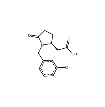 O=C(O)C[C@@H]1CCC(=O)N1Cc1cccc(Cl)c1